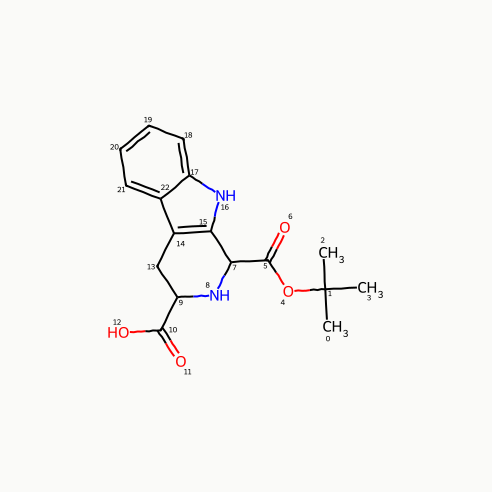 CC(C)(C)OC(=O)C1NC(C(=O)O)Cc2c1[nH]c1ccccc21